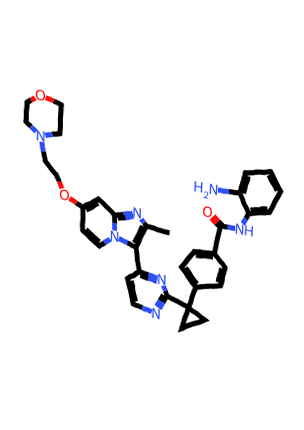 Cc1nc2cc(OCCN3CCOCC3)ccn2c1-c1ccnc(C2(c3ccc(C(=O)Nc4ccccc4N)cc3)CC2)n1